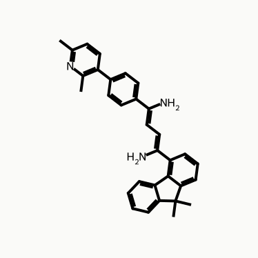 Cc1ccc(-c2ccc(/C(N)=C/C=C(\N)c3cccc4c3-c3ccccc3C4(C)C)cc2)c(C)n1